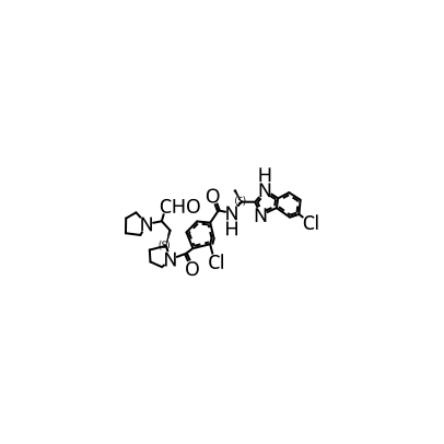 C[C@H](NC(=O)c1ccc(C(=O)N2CCC[C@H]2CC(C=O)N2CCCC2)c(Cl)c1)c1nc2cc(Cl)ccc2[nH]1